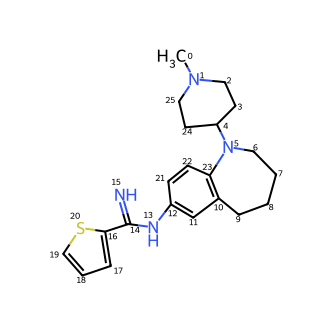 CN1CCC(N2CCCCc3cc(NC(=N)c4cccs4)ccc32)CC1